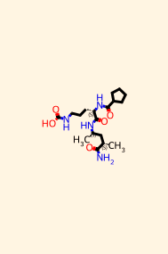 C[C@@H](C[C@H](C)C(N)=O)NC(=O)[C@H](CCCNC(=O)O)NC(=O)C1CCCC1